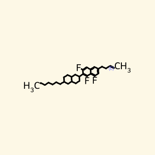 C/C=C/CCc1cc(F)c2c(F)c(C3CCC4CC(CCCCCCC)CCC4C3)c(F)cc2c1